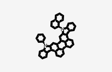 c1ccc(-n2c3ccccc3c3c4cccc5c6cccc7c6c(cc6c7c7ccccc7n6-c6cccc7ccccc67)c(cc32)c54)cc1